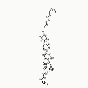 CCCCCCCCCCc1ccc(-c2cnc(-c3ccc(OC(=O)C(CCCCCC)C(F)(F)F)c(F)c3)nc2)cc1